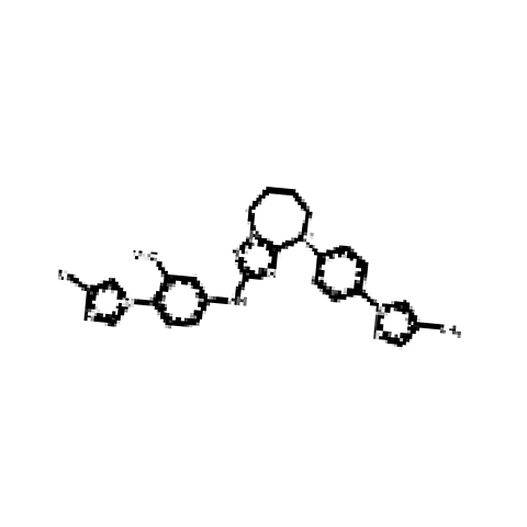 COc1cc(Nc2nc3n(n2)CCCC[C@H]3c2ccc(-n3cc(C)cn3)cc2)ccc1-n1cnc(Cl)c1